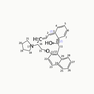 C=C/C=c1/cccc/c1=C(/O)Cc1c(OCCN2CCCC2)ccc2ccccc12